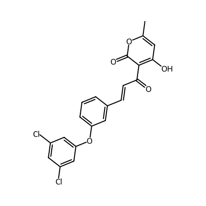 Cc1cc(O)c(C(=O)C=Cc2cccc(Oc3cc(Cl)cc(Cl)c3)c2)c(=O)o1